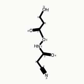 N#CCC(=O)NOC(=O)CCO